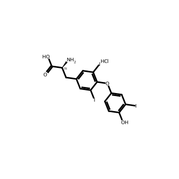 Cl.N[C@@H](Cc1cc(I)c(Oc2ccc(O)c(I)c2)c(I)c1)C(=O)O